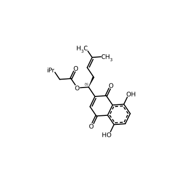 CC(C)=CC[C@H](OC(=O)CC(C)C)C1=CC(=O)c2c(O)ccc(O)c2C1=O